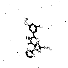 CC(NC(=O)c1cc(Cl)cc(OC(F)(F)F)c1)c1nc(N)nn1-c1ncccn1